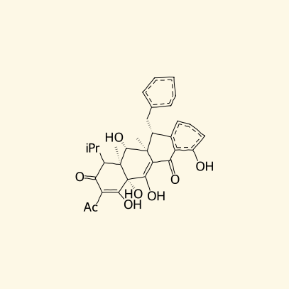 CC(=O)C1=C(O)[C@]2(O)C(O)=C3C(=O)c4c(O)cccc4[C@@H](Cc4ccccc4)[C@]3(C)[C@@H](O)[C@]2(C)C(C(C)C)C1=O